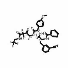 COc1ccc([C@H](NC(=O)[C@H](Cc2cccc(C#N)c2)NC(=O)c2ccccc2)C(=O)N[C@@H](C)C(=O)C(F)(F)C(=O)NCC(F)(F)F)cc1